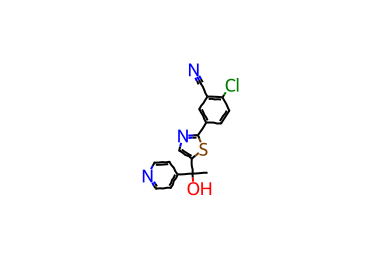 CC(O)(c1ccncc1)c1cnc(-c2ccc(Cl)c(C#N)c2)s1